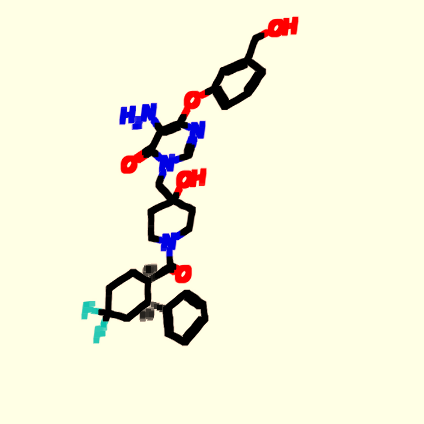 Nc1c(Oc2cccc(CO)c2)ncn(CC2(O)CCN(C(=O)[C@@H]3CCC(F)(F)C[C@H]3c3ccccc3)CC2)c1=O